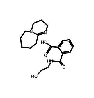 C1CCC2=NCCCN2CC1.O=C(O)c1ccccc1C(=O)NCCO